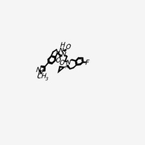 Cn1cc(-c2ccc3c(c2)CC[C@]32NC(=O)N(CC(=O)N3Cc4ccc(F)cc4CC[C@@H]3C3CC3)C2=O)cn1